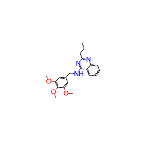 CCCc1nc(NCc2cc(OC)c(OC)c(OC)c2)c2ccccc2n1